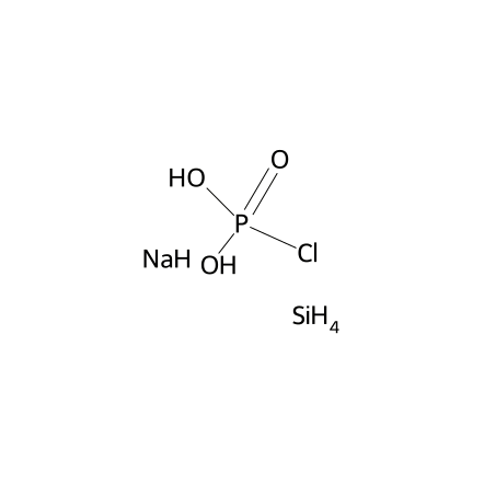 O=P(O)(O)Cl.[NaH].[SiH4]